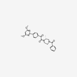 COc1cc(OC)nc(-c2ccc(C(=O)C(=O)N3CCN(C(=O)c4ccccc4)C[C@H]3C)cc2)n1